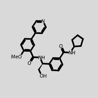 COc1ccc(-c2ccncc2)cc1C(=O)N[C@H](CO)c1cccc(C(=O)NC2CCCC2)c1